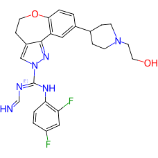 N=C/N=C(\Nc1ccc(F)cc1F)n1cc2c(n1)-c1cc(C3CCN(CCO)CC3)ccc1OCC2